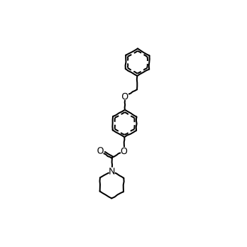 O=C(Oc1ccc(OCc2ccccc2)cc1)N1CCCCC1